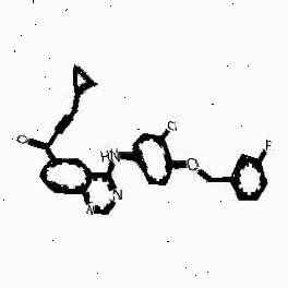 O=C(C#CC1CC1)c1ccc2ncnc(Nc3ccc(OCc4cccc(F)c4)c(Cl)c3)c2c1